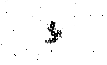 CC(C)n1nc(-c2cc(C(C)(F)F)ncc2F)c2c1CC(C(=O)NC1(C)CCS(=O)(=O)CC1)CC2